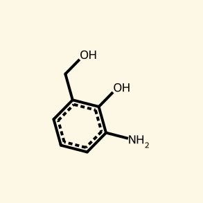 Nc1cccc(CO)c1O